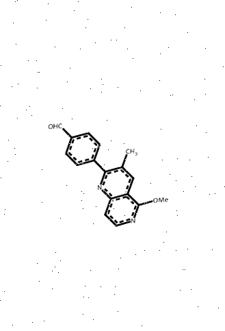 COc1nccc2nc(-c3ccc(C=O)cc3)c(C)cc12